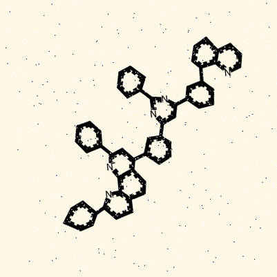 c1ccc(-c2ccc3ccc4c(-c5cccc(-c6cc(-c7cccc(-c8cccc9cccnc89)c7)nc(-c7ccccc7)n6)c5)cc(-c5ccccc5)nc4c3n2)cc1